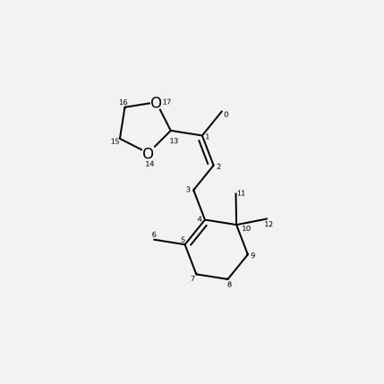 CC(=CCC1=C(C)CCCC1(C)C)C1OCCO1